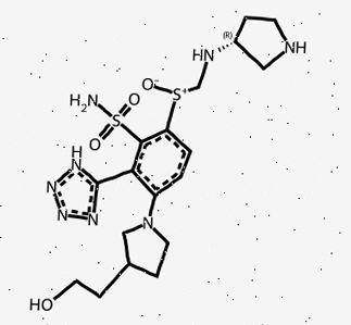 NS(=O)(=O)c1c([S+]([O-])CN[C@@H]2CCNC2)ccc(N2CCC(CCO)C2)c1-c1nnn[nH]1